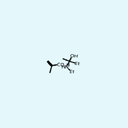 C=C(C)C(=O)O.CCNC(C)(O)CC